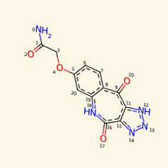 NC(=O)COc1ccc2c(=O)c3[nH]nnc3c(=O)[nH]c2c1